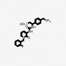 NCc1ccc(C(CC(=O)O)NC(=O)Nc2cccn(Cc3ccccc3F)c2=O)cc1